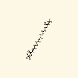 CC(C)(C)OC(=O)COCCOCCOCCOCCOCC(=O)OC(C)(C)C